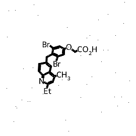 CCc1cc(C)c2cc(Cc3c(Br)cc(OCC(=O)O)cc3Br)ccc2n1